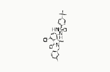 C=C1c2c(NS(=N)(=O)c3ccc(C(C)(C)C)cc3)ccc(Cl)c2C(=O)N1Cc1cccc(C)c1